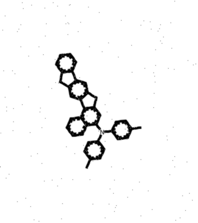 Cc1ccc(N(c2ccc(C)cc2)c2cc3c(c4ccccc24)-c2cc4c(cc2C3)-c2ccccc2C4)cc1